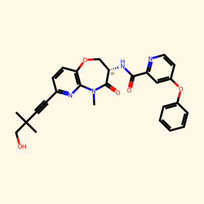 CN1C(=O)[C@@H](NC(=O)c2cc(Oc3ccccc3)ccn2)COc2ccc(C#CC(C)(C)CO)nc21